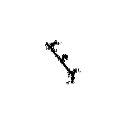 CCCC(=O)OCc1ccc(NC(=O)[C@H](CCCNC(N)=O)NC(=O)CNC(=O)CCOCCOCCOCCOCCN(CCOCCOCCOCCOCCC(=O)NCC(=O)N[C@@H](CCCNC(N)=O)C(=O)Nc2ccc(COC(=O)CCC)cc2)C(=O)CCCC(=O)ON2C(=O)CCC2=O)cc1